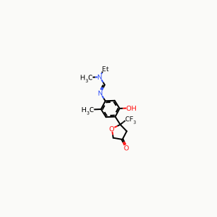 CCN(C)C=Nc1cc(O)c(C2(C(F)(F)F)CC(=O)CO2)cc1C